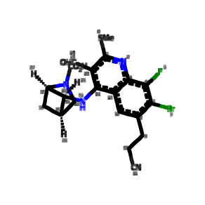 CSc1nc2c(F)c(Br)c(CCC#N)cc2c(N[C@H]2[C@@H]3C[C@H]2N(C(=O)O)C3)c1C=O